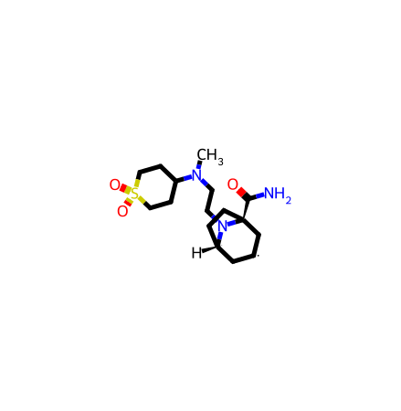 CN(CCN1[C@@H]2C[CH]C[C@@]1(C(N)=O)CC2)C1CCS(=O)(=O)CC1